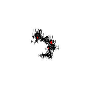 CC(C)C[C@H](NC(=O)[C@H](Cc1ccc(O)cc1)NC(=O)[C@H](CO)NC(=O)[C@H](CO)NC(=O)[C@@H](NC(=O)[C@H](CC(=O)O)NC(=O)[C@H](CO)NC(=O)[C@@H](NC(=O)[C@H](Cc1ccccc1)NC(=O)[C@@H](NC(=O)CNC(=O)[C@H](CCC(=O)O)NC(=O)C(C)(C)NC(=O)[C@@H](N)Cc1c[nH]cn1)[C@@H](C)O)[C@@H](C)O)C(C)C)C(=O)N[C@@H](CCC(=O)O)C(=O)NCC(=O)N[C@@H](CCC(N)=O)C(=O)N[C@@H](C)C(=O)N[C@@H](C)C(=O)N[C@@H](CCCCN)C(=O)O